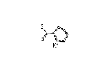 S=C([S-])c1ccccc1.[K+]